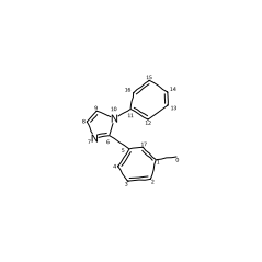 Cc1cccc(-c2nccn2-c2ccccc2)c1